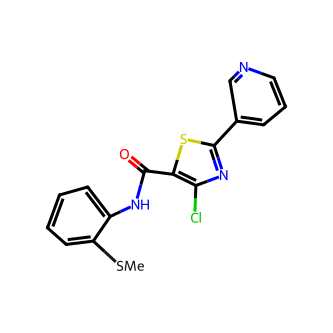 CSc1ccccc1NC(=O)c1sc(-c2cccnc2)nc1Cl